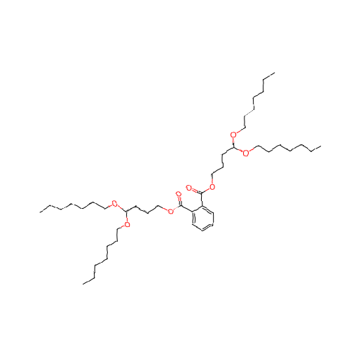 CCCCCCCOC(CCCOC(=O)c1ccccc1C(=O)OCCCC(OCCCCCCC)OCCCCCCC)OCCCCCCC